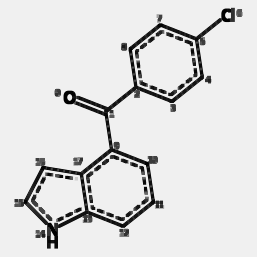 O=C(c1ccc(Cl)cc1)c1cccc2[nH]ccc12